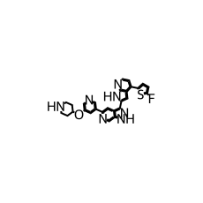 Fc1ccc(-c2ccnc3[nH]c(-c4n[nH]c5cnc(-c6cncc(OC7CCNCC7)c6)cc45)cc23)s1